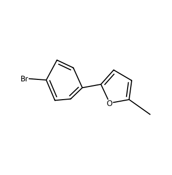 Cc1ccc(-c2ccc(Br)cc2)o1